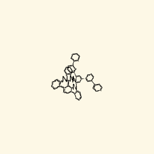 c1ccc(-c2cccc(-c3cc(-c4cccc(-c5ccccc5)c4)nc(-n4c5ccccc5c5ccc6c7ccccc7n7c8ccccc8nc7c6c54)c3)c2)cc1